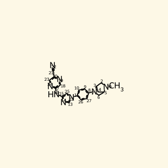 CN1CC2CC1CN2c1ccc(-n2cnc(Nc3cnc(C#N)cn3)c2)cc1